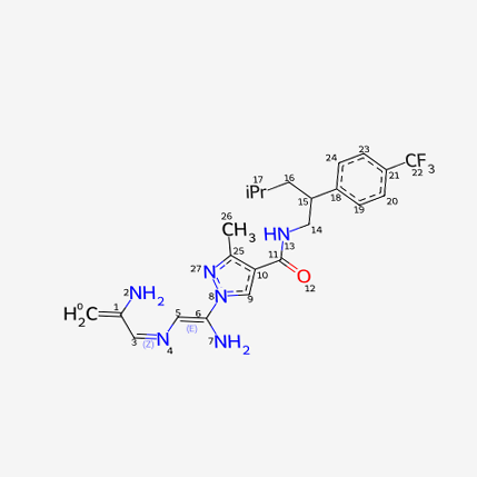 C=C(N)/C=N\C=C(/N)n1cc(C(=O)NCC(CC(C)C)c2ccc(C(F)(F)F)cc2)c(C)n1